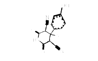 CC1(c2ccc(O)cc2)C(C#N)C(=O)NC(=O)C1C#N